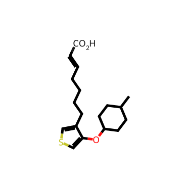 CC1CCC(Oc2cscc2CCCCC=CC(=O)O)CC1